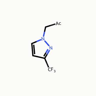 CC(=O)Cn1ccc(C(F)(F)F)n1